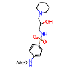 CONc1ccc(S(=O)(=O)NCC(O)CN2CCCCC2)cc1